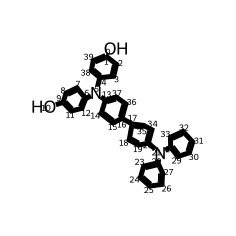 Oc1ccc(N(c2ccc(O)cc2)c2ccc(-c3ccc(N(c4ccccc4)c4ccccc4)cc3)cc2)cc1